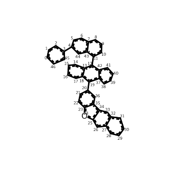 c1ccc(-c2ccc3cccc(-c4c5ccccc5c(-c5ccc6oc7cc8ccccc8cc7c6c5)c5ccccc45)c3c2)cc1